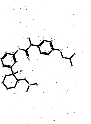 CC(C)COc1ccc(C(C)C(=O)Oc2cccc(C3(O)CCCCC3CN(C)C)c2)cc1